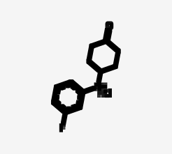 Cl.O=C1CCC(Nc2cccc(F)c2)CC1